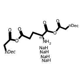 CCCCCCCCCCCC(=O)OC(=O)CC[C@H](N)C(=O)OC(=O)CCCCCCCCCCC.[NaH].[NaH].[NaH].[NaH]